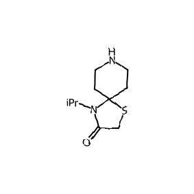 CC(C)N1C(=O)CSC12CCNCC2